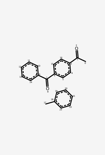 CC(=O)c1ccc(C(=O)c2ccccc2)cc1.Cc1ccccc1